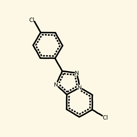 Clc1ccc(-c2nc3ccc(Cl)cn3n2)cc1